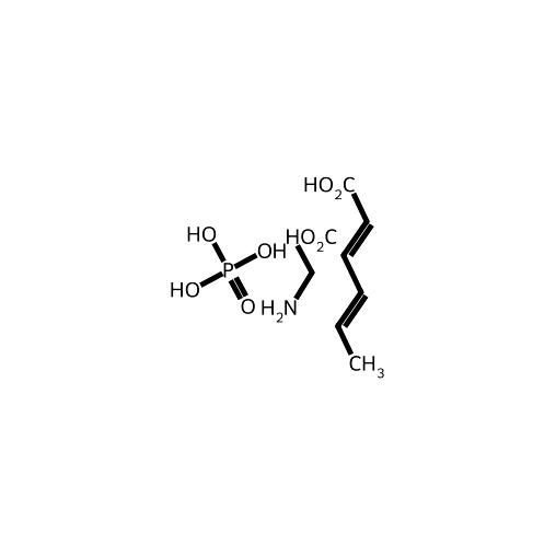 C/C=C/C=C/C(=O)O.NCC(=O)O.O=P(O)(O)O